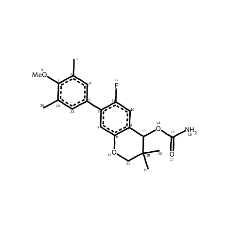 COc1c(C)cc(-c2cc3c(cc2F)C(OC(N)=O)C(C)(C)CO3)cc1C